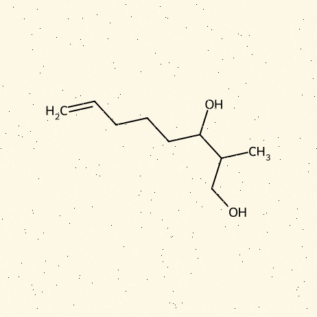 C=CCCCC(O)C(C)CO